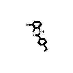 CCc1ccc(C(=O)Nc2cccc(Br)c2C)cc1